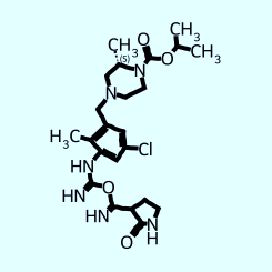 Cc1c(CN2CCN(C(=O)OC(C)C)[C@@H](C)C2)cc(Cl)cc1NC(=N)OC(=N)C1CCNC1=O